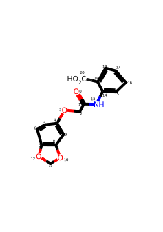 O=C(COc1ccc2c(c1)OCO2)Nc1ccccc1C(=O)O